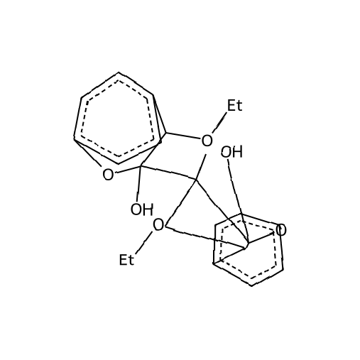 CCOC1c2ccc(cc2)OC1(O)C(C)(C)C1(O)Oc2ccc(cc2)C1OCC